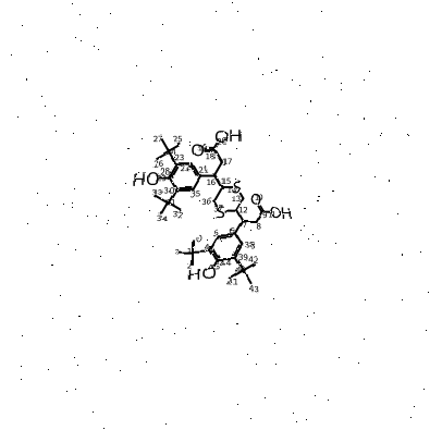 CC(C)(C)c1cc(C(CC(=O)O)C2CSC(C(CC(=O)O)c3cc(C(C)(C)C)c(O)c(C(C)(C)C)c3)CS2)cc(C(C)(C)C)c1O